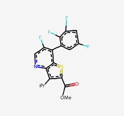 COC(=O)c1sc2c(-c3cc(F)cc(F)c3F)c(F)cnc2c1C(C)C